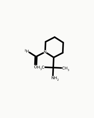 [2H]C(=O)N1CCCCC1C(C)(C)N